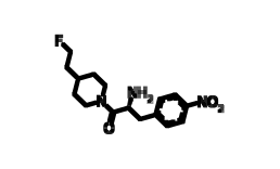 N[C@@H](Cc1ccc([N+](=O)[O-])cc1)C(=O)N1CCC(CCF)CC1